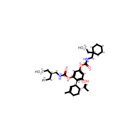 C=C(C)[C@@H]1CCC(C)=C[C@H]1c1c(O)cc(OC(=O)NCC2(CC(=O)O)CCCCC2)cc1OC(=O)NC[C@H](CC(=O)O)CC(C)C